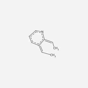 C/C=c1/cccn/c1=C/C